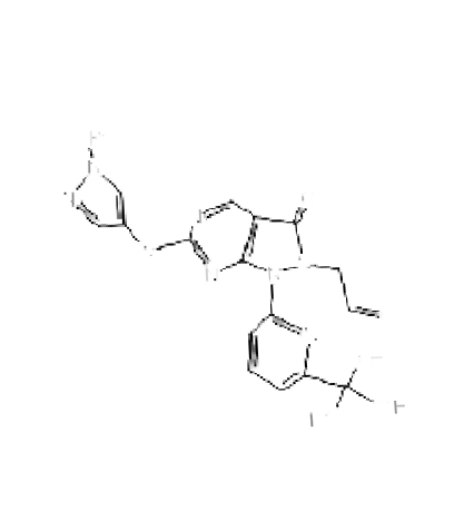 C=CCn1c(=O)c2cnc(Nc3cnn(C(C)C)c3)nc2n1-c1cccc(C(C)(C)O)n1